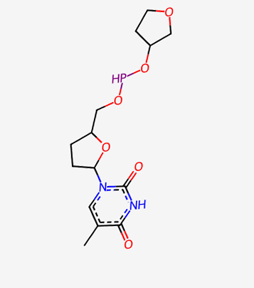 Cc1cn(C2CCC(COPOC3CCOC3)O2)c(=O)[nH]c1=O